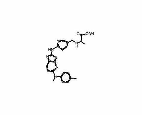 COC(=O)C(C)NCc1ccc(Nc2nc3ccc(N(C)c4ccc(C)cc4)nc3s2)nc1